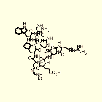 CCN/C=N\CC[C@H](NC(=O)[C@H](CCC(=O)O)NC(=O)[C@H](CS)NC(=O)CN1C(=O)N[C@H](CCCNC(=N)N)C1=O)C(=O)N[C@H](Cc1ccccc1)C(=O)N[C@@H](CCCNC(=N)N)C(=O)N[C@@H](Cc1c[nH]c2ccccc12)C(=O)N[C@@H](CS)C(N)=O